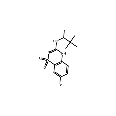 CC(NC1=NS(=O)(=O)c2cc(Br)ccc2N1)C(C)(C)C